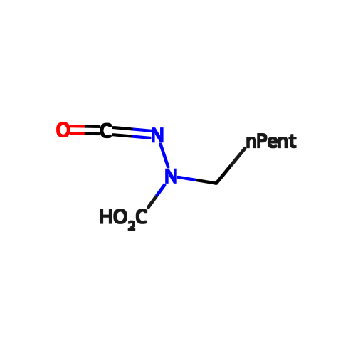 CCCCCCN(N=C=O)C(=O)O